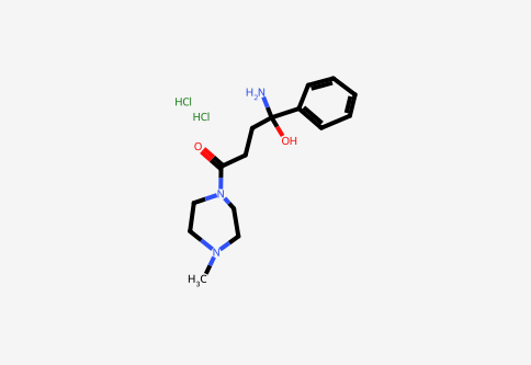 CN1CCN(C(=O)CCC(N)(O)c2ccccc2)CC1.Cl.Cl